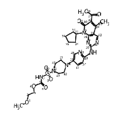 COCCOC(=O)NS(=O)(=O)N1CCN(c2ccc(Nc3ncc4c(C)c(C(C)=O)c(=O)n(C5CCCC5)c4n3)nc2)CC1